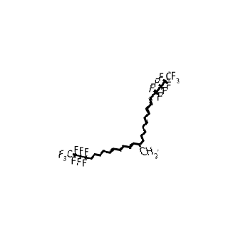 [CH2]C(CCCCCCCCCCC(F)(F)C(F)(F)C(F)(F)C(F)(F)F)CCCCCCCCCCC(F)(F)C(F)(F)C(F)(F)C(F)(F)F